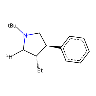 [2H]C1[C@@H](CC)[C@H](c2ccccc2)CN1C(C)(C)C